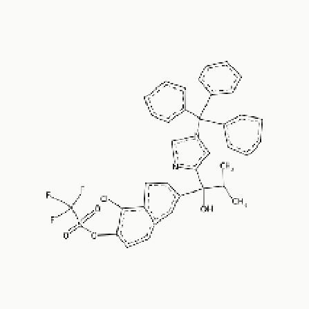 CC(C)C(O)(c1ccc2c(Cl)c(OS(=O)(=O)C(F)(F)F)ccc2c1)c1cn(C(c2ccccc2)(c2ccccc2)c2ccccc2)cn1